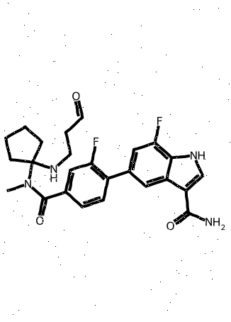 CN(C(=O)c1ccc(-c2cc(F)c3[nH]cc(C(N)=O)c3c2)c(F)c1)C1(NCCC=O)CCCC1